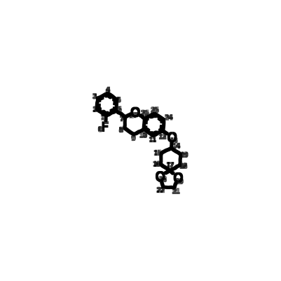 Fc1ccccc1C1CCc2cc(OC3CCC4(CC3)OCCO4)ccc2O1